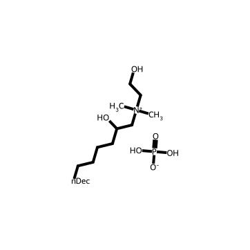 CCCCCCCCCCCCCCC(O)C[N+](C)(C)CCO.O=P([O-])(O)O